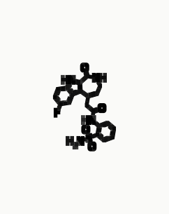 NS(=O)(=O)c1ccccc1NC(=O)CC1=CCNC(=O)c2[nH]c3ccc(F)cc3c21